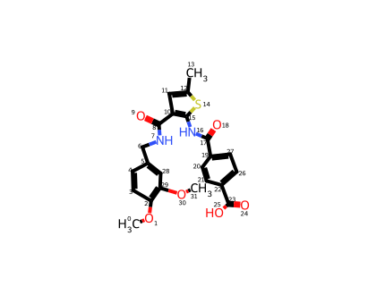 COc1ccc(CNC(=O)c2cc(C)sc2NC(=O)c2ccc(C(=O)O)cc2)cc1OC